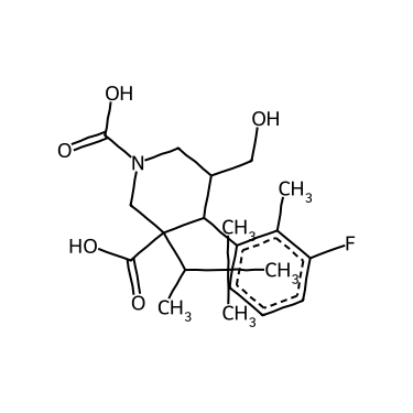 Cc1c(F)cccc1C1C(CO)CN(C(=O)O)CC1(C(=O)O)C(C)C(C)(C)C